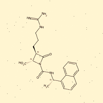 C[C@H](NC(=O)N1C(=O)[C@H](CCCNC(=N)N)[C@H]1C(=O)O)c1cccc2ccccc12